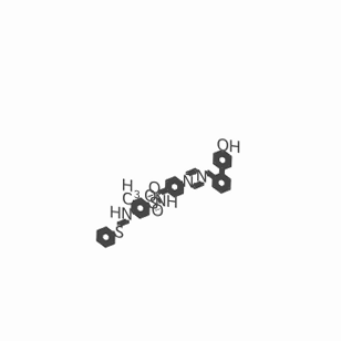 Cc1cc(S(=O)(=O)NC(=O)c2ccc(N3CCN(Cc4ccccc4-c4ccc(O)cc4)CC3)cc2)ccc1NCCSc1ccccc1